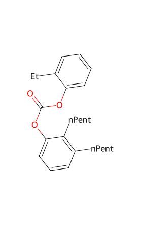 CCCCCc1cccc(OC(=O)Oc2ccccc2CC)c1CCCCC